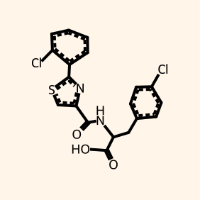 O=C(NC(Cc1ccc(Cl)cc1)C(=O)O)c1csc(-c2ccccc2Cl)n1